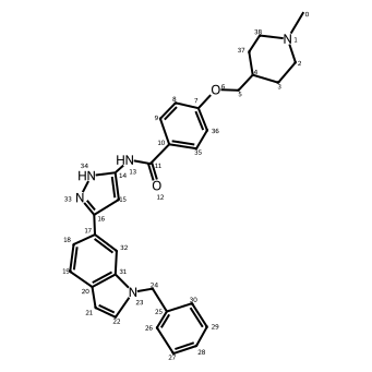 CN1CCC(COc2ccc(C(=O)Nc3cc(-c4ccc5ccn(Cc6ccccc6)c5c4)n[nH]3)cc2)CC1